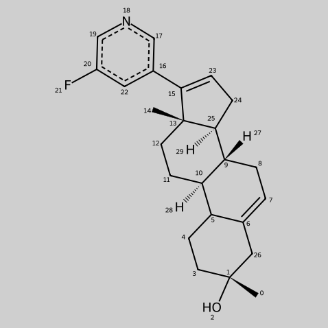 C[C@@]1(O)CCC2C(=CC[C@@H]3[C@@H]2CC[C@]2(C)C(c4cncc(F)c4)=CC[C@@H]32)C1